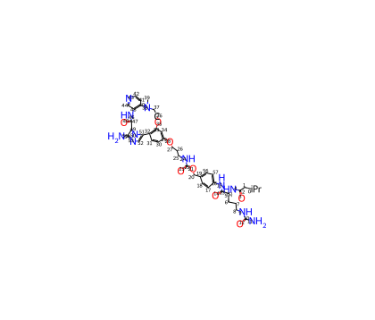 CC(C)CC(=O)N[C@@H](CCCNC(N)=O)C(=O)Nc1ccc(COC(=O)NCCCOc2ccc3c(c2)OCCN(C)c2ccncc2NC(=O)c2nc-3cnc2N)cc1